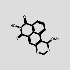 COC1OCOc2cc3c4c(cccc4c21)C(=O)N(O)C3=O